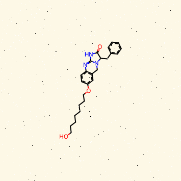 O=C1NC2=Nc3ccc(OCCCCCCCCO)cc3CN2C1Cc1ccccc1